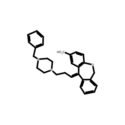 O=C(O)c1ccc2c(c1)C(=CCCN1CCN(Cc3ccccc3)CC1)c1ccccc1CO2